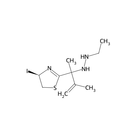 C=C(C)C(C)(NNCC)C1=N[C@H](I)CS1